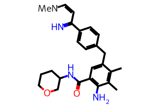 CN/C=C\C(=N)c1ccc(Cc2cc(C(=O)NC3CCCOC3)c(N)c(C)c2C)cc1